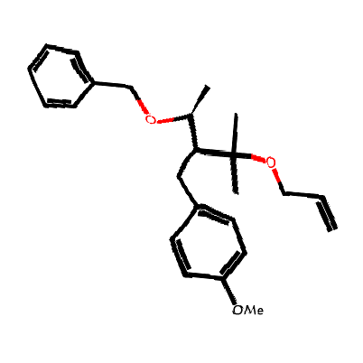 C=CCOC(C)(C)C(Cc1ccc(OC)cc1)[C@H](C)OCc1ccccc1